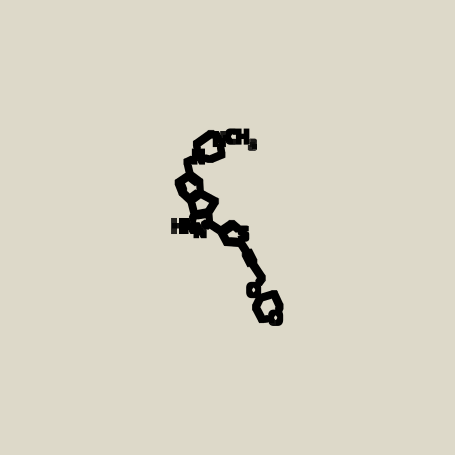 CN1CCN(Cc2ccc3c(c2)Cc2c(-c4csc(C#CCOC5CCOCC5)c4)n[nH]c2-3)CC1